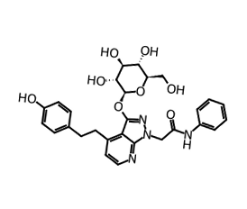 O=C(Cn1nc(O[C@@H]2O[C@H](CO)[C@@H](O)[C@H](O)[C@H]2O)c2c(CCc3ccc(O)cc3)ccnc21)Nc1ccccc1